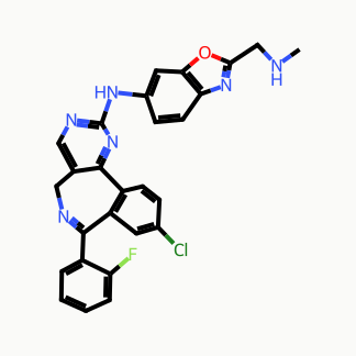 CNCc1nc2ccc(Nc3ncc4c(n3)-c3ccc(Cl)cc3C(c3ccccc3F)=NC4)cc2o1